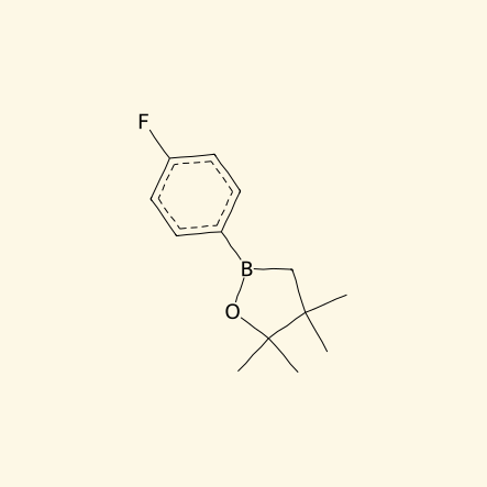 CC1(C)CB(c2ccc(F)cc2)OC1(C)C